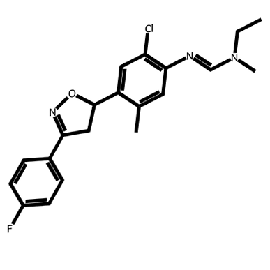 CCN(C)C=Nc1cc(C)c(C2CC(c3ccc(F)cc3)=NO2)cc1Cl